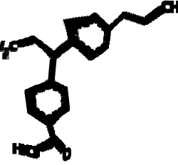 C=CCc1ccc(C(C=C)c2ccc(C(=O)O)cc2)cc1